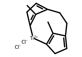 CC1=[C]2CC=C1CCC1=CC[C](=C1C)[Ti+2]2.[Cl-].[Cl-]